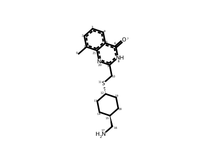 Cc1cccc2c(=O)[nH]c(CS[C@H]3CC[C@H](CN)CC3)nc12